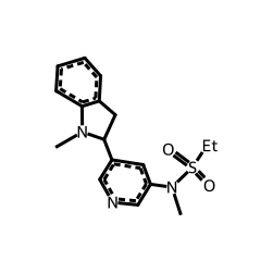 CCS(=O)(=O)N(C)c1cncc(C2Cc3ccccc3N2C)c1